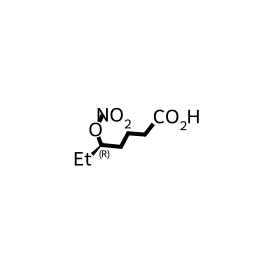 CC[C@H](CCCC(=O)O)O[N+](=O)[O-]